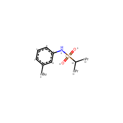 CCCCc1cccc(NS(=O)(=O)C(CCC)CCC)c1